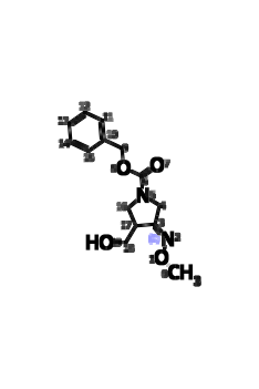 CO/N=C1/CN(C(=O)OCc2ccccc2)CC1CO